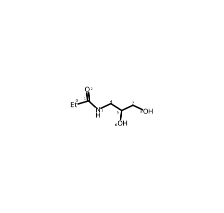 CCC(=O)NCC(O)CO